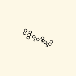 CC1(C)c2ccc(-c3cccc4c3sc3cc5sc6ccc7ccccc7c6c5cc34)cc2-c2ccc(-c3c4ccccc4c(-c4cccc5ccccc45)c4ccccc34)cc21